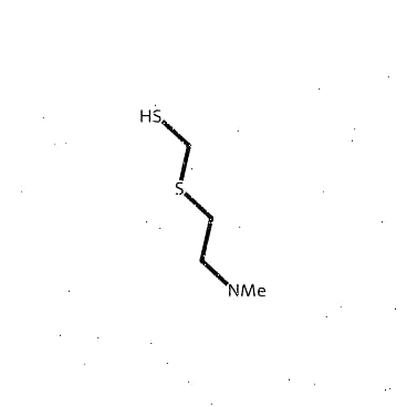 CNCCSCS